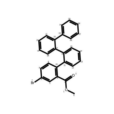 COC(=O)c1cc(Br)ccc1-c1ccccc1-c1ccccc1-c1ccccc1